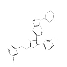 Cc1cccc(-c2[nH]c(NCc3cccc(F)c3)nc2-c2cnc3c(cnn3C3CCCCO3)c2)n1